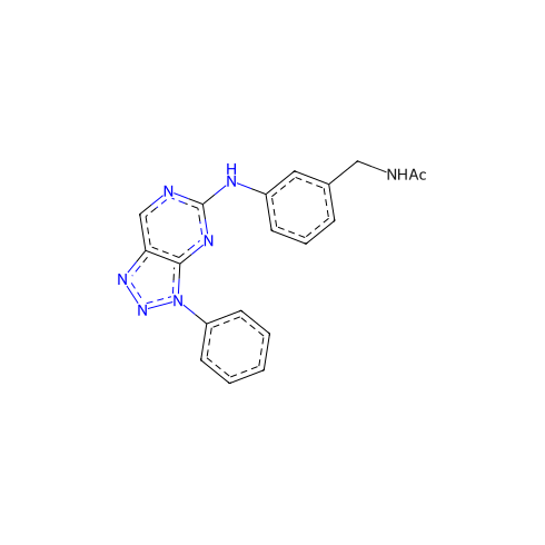 CC(=O)NCc1cccc(Nc2ncc3nnn(-c4ccccc4)c3n2)c1